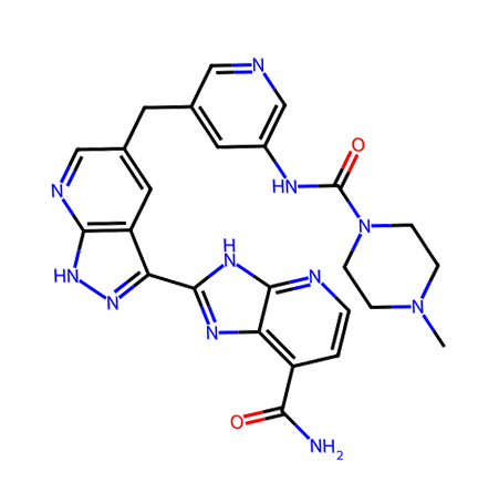 CN1CCN(C(=O)Nc2cncc(Cc3cnc4[nH]nc(-c5nc6c(C(N)=O)ccnc6[nH]5)c4c3)c2)CC1